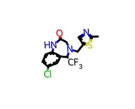 Cc1ncc(CN2CC(=O)Nc3ccc(Cl)cc3C2C(F)(F)F)s1